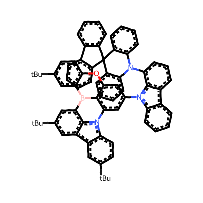 CC(C)(C)c1ccc2c(c1)B1c3c(cc(-n4c5ccccc5c5cccc(N6c7ccccc7C7(c8ccccc8-c8ccccc87)c7ccccc76)c54)cc3-n3c4ccc(C(C)(C)C)cc4c4cc(C(C)(C)C)cc1c43)O2